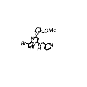 COC[C@H]1CCCN1c1cc(NCc2cccnc2)n2ncc(Br)c2n1